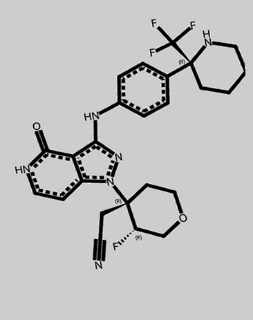 N#CC[C@@]1(n2nc(Nc3ccc([C@@]4(C(F)(F)F)CCCCN4)cc3)c3c(=O)[nH]ccc32)CCOC[C@@H]1F